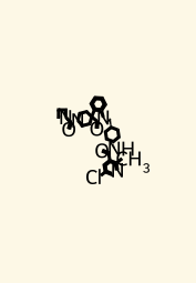 Cc1ncc(Cl)cc1C(=O)N[C@H]1CC[C@H](CN2C(=O)C3(CCN(C(=O)N4CCC4)CC3)c3ccccc32)CC1